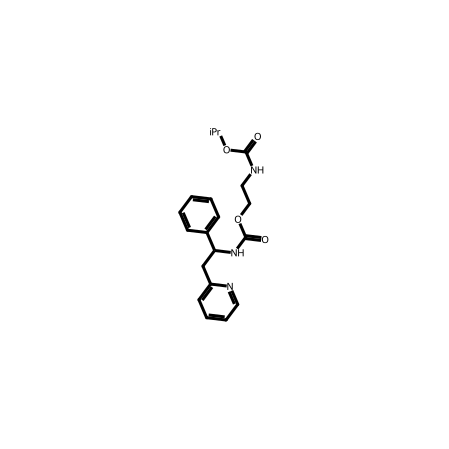 CC(C)OC(=O)NCCOC(=O)NC(Cc1ccccn1)c1ccccc1